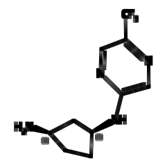 N[C@@H]1CC[C@H](Nc2cnc(C(F)(F)F)cn2)C1